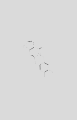 Nc1nc2[nH]cnc2c(=O)n1Cc1ccc(Cl)c(Cl)c1